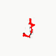 CN(CCN1CCC(N(C(=O)O)c2ccccc2-c2ccccc2)CC1)C(=O)CCCCCNc1ccc(C(=O)N(C)CCCN(C)C(=O)CO[C@H]2Cc3ccccc3C23CCN(CC[C@]2(c4ccc(F)cc4)CN(C(=O)c4cc(C(F)(F)F)cc(C(F)(F)F)c4)CO2)CC3)nc1